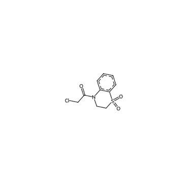 O=C(CCl)N1CCS(=O)(=O)c2ccccc21